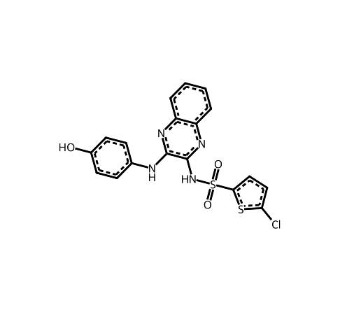 O=S(=O)(Nc1nc2ccccc2nc1Nc1ccc(O)cc1)c1ccc(Cl)s1